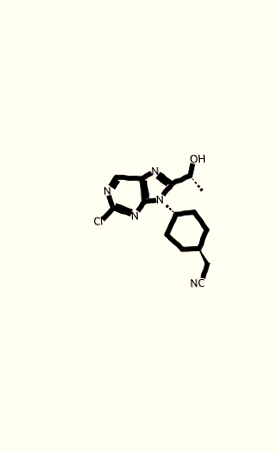 C[C@@H](O)c1nc2cnc(Cl)nc2n1[C@H]1CC[C@H](CC#N)CC1